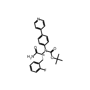 CC(C)(C)OC(=O)N(c1ccc(-c2ccncc2)cc1)[C@H](Cc1ccccc1F)C(N)=O